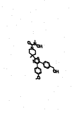 COc1ccc(-c2nc(C3(C)CCN(C(=O)N(C)O)CC3)sc2-c2ccc(CO)cc2)cc1